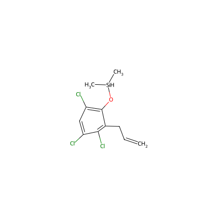 C=CCc1c(Cl)c(Cl)cc(Cl)c1O[SiH](C)C